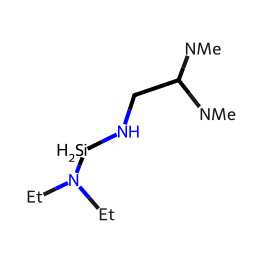 CCN(CC)[SiH2]NCC(NC)NC